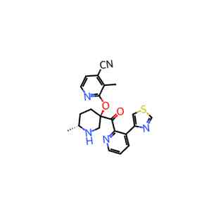 Cc1c(C#N)ccnc1O[C@]1(C(=O)c2ncccc2-c2cscn2)CC[C@@H](C)NC1